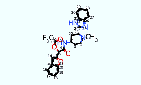 CN1CC[C@@H](NC(=O)C(OC(=O)C(F)(F)F)c2cc3ccccc3o2)C[C@@H]1c1nc2ccccc2[nH]1